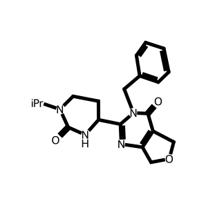 CC(C)N1CCC(c2nc3c(c(=O)n2Cc2ccccc2)COC3)NC1=O